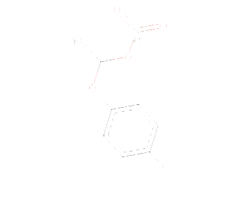 CCC(Oc1ccc(C)cc1)O[SH](=O)=O